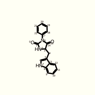 O=C1NC(Cc2c[nH]c3ccccc23)C(=O)N1c1ccccc1